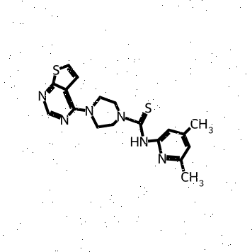 Cc1cc(C)nc(NC(=S)N2CCN(c3ncnc4sccc34)CC2)c1